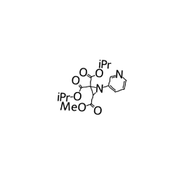 COC(=O)C1N(c2cccnc2)C1(C(=O)OC(C)C)C(=O)OC(C)C